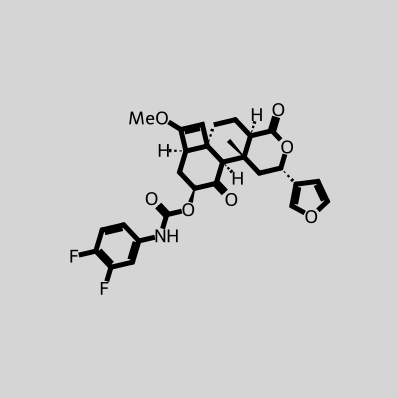 COC1=C[C@@]23CC[C@H]4C(=O)O[C@H](c5ccoc5)C[C@]4(C)[C@H]2C(=O)[C@@H](OC(=O)Nc2ccc(F)c(F)c2)C[C@@H]13